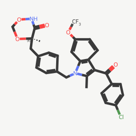 Cc1c(C(=O)c2ccc(Cl)cc2)c2ccc(OC(F)(F)F)cc2n1Cc1ccc(C[C@@]2(C)OCONC2=O)cc1